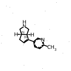 Cc1ccc(C2=CC[C@@H]3CNC[C@H]23)cn1